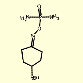 CC(C)(C)C1CCC(=NOP(N)(N)=O)CC1